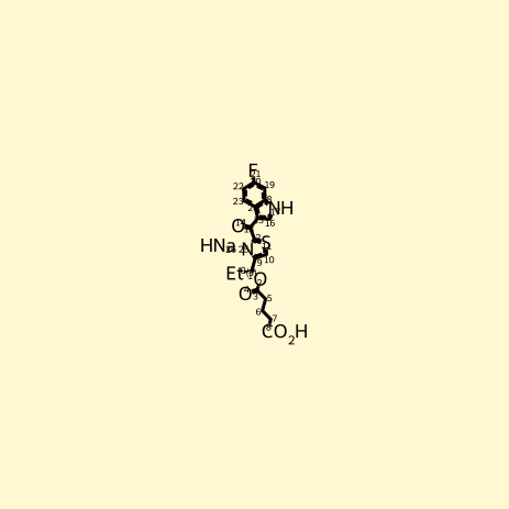 CC[C@H](OC(=O)CCCC(=O)O)c1csc(C(=O)c2c[nH]c3cc(F)ccc23)n1.[NaH]